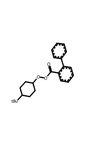 CC(C)(C)C1CC[C](OOC(=O)c2ccccc2-c2ccccc2)CC1